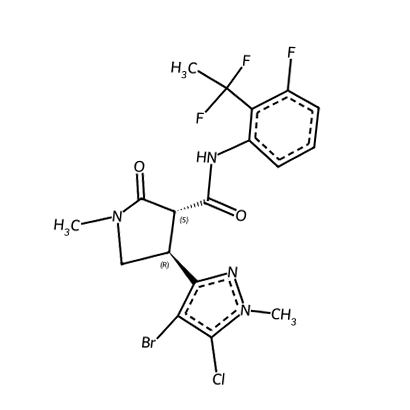 CN1C[C@H](c2nn(C)c(Cl)c2Br)[C@@H](C(=O)Nc2cccc(F)c2C(C)(F)F)C1=O